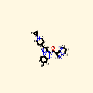 Cc1ccc(-n2nc(C3CCN(C4CC4)CC3)cc2NC(=O)c2cnn3cccnc23)cc1